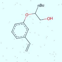 C=Cc1cccc(OC(CO)CCCC)c1